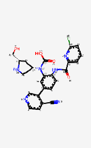 N#Cc1ccncc1-c1ccc(NC(=O)c2cccc(Cl)n2)c(N(C(=O)O)[C@@H]2CN[C@H](CO)C2)c1